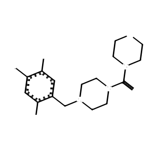 O=C(N1CCOCC1)N1CCN(Cc2cc(Cl)c(Cl)cc2O)CC1